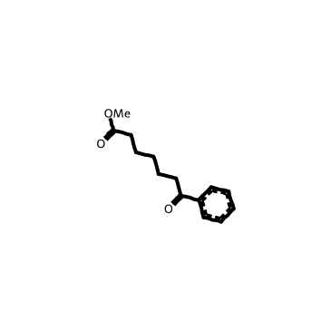 COC(=O)CCCCCC(=O)c1ccccc1